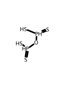 S=[PH](S)O[PH](=S)S